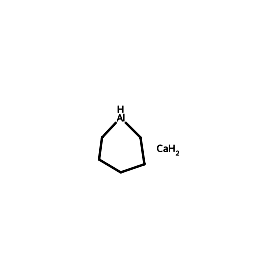 C1C[CH2][AlH][CH2]C1.[CaH2]